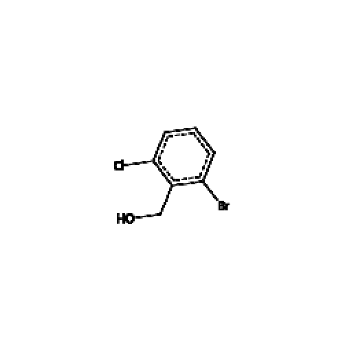 OCc1c(Cl)cccc1Br